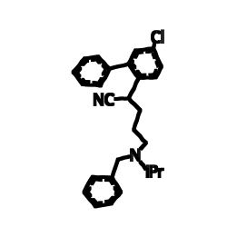 CC(C)N(CCCC(C#N)c1ccc(Cl)cc1-c1ccccc1)Cc1ccccc1